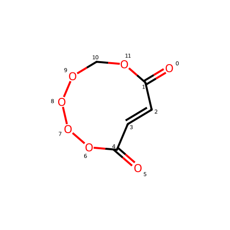 O=C1/C=C/C(=O)OOOOCO1